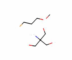 COCCCP.NC(CO)(CO)CO